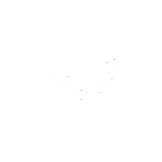 Cc1c(F)c(Oc2cccc(CC(=O)O)c2)nc(Oc2cccc(-c3cccc(C(=N)N)c3)c2)c1F